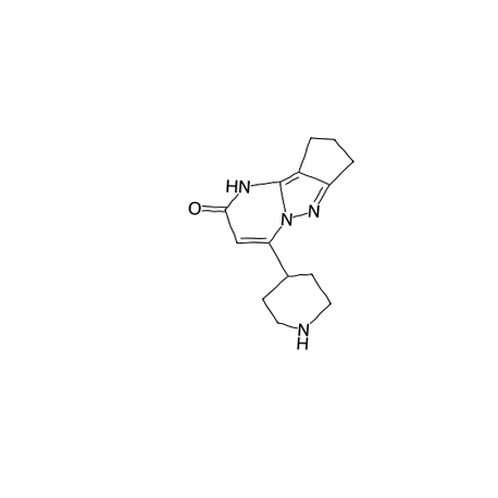 O=c1cc(C2CCNCC2)n2nc3c(c2[nH]1)CCC3